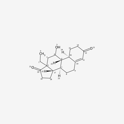 CCC12CC(O)[C@H]3[C@@H](CCC4=CC(=O)CC[C@@H]43)[C@@H]1CCC2=O